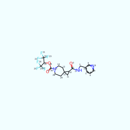 O=C(NCc1cccnc1)C1CC12CCN(C(=O)OC(C(F)(F)F)C(F)(F)F)CC2